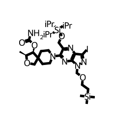 CC(C)[Si](OCc1nc2c(I)nn(COCC[Si](C)(C)C)c2nc1N1CCC2(CC1)CO[C@@H](C)[C@H]2OC(N)=O)(C(C)C)C(C)C